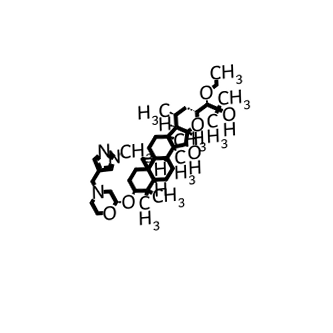 CCO[C@@H]([C@H]1C[C@@H](C)[C@H]2[C@H](O1)[C@H](O)[C@@]1(C)[C@@H]3CC[C@H]4C(C)(C)[C@@H](O[C@H]5CN(Cc6cnn(C)c6)CCO5)CCC45C[C@@]35CC[C@]21C)C(C)(C)O